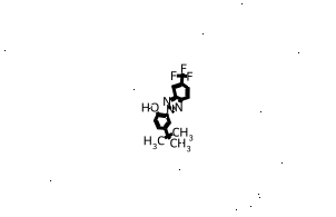 CC(C)(C)c1ccc(O)c(-n2nc3ccc(C(F)(F)F)cc3n2)c1